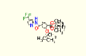 CC(C)(C)COc1cc(C(=O)Nc2cc(C(F)(F)F)ccn2)ccc1B1OC(C)(C)C(C)(C)O1